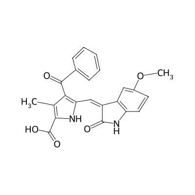 COc1ccc2c(c1)/C(=C/c1[nH]c(C(=O)O)c(C)c1C(=O)c1ccccc1)C(=O)N2